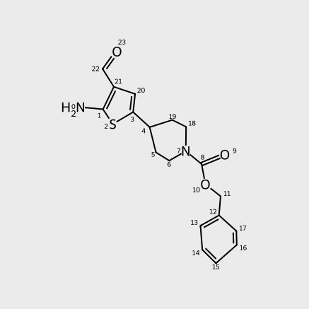 Nc1sc(C2CCN(C(=O)OCc3ccccc3)CC2)cc1C=O